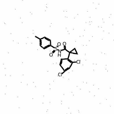 Cc1ccc(S(=O)(=O)NC(=O)C2(c3ccc(Cl)cc3Cl)CC2)cc1